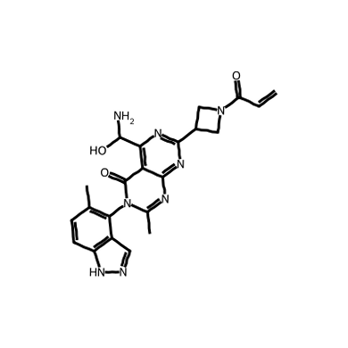 C=CC(=O)N1CC(c2nc(C(N)O)c3c(=O)n(-c4c(C)ccc5[nH]ncc45)c(C)nc3n2)C1